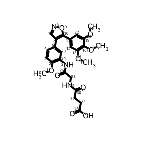 COc1ccc(-c2cnoc2-c2cc(OC)c(OC)c(OC)c2)cc1NC(=O)CNC(=O)CCC(=O)O